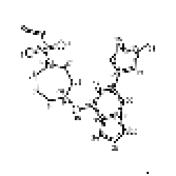 C=CS(=O)(=O)N1CCC[C@H](Oc2nc(-c3cnn(C)c3)cn3nccc23)CC1